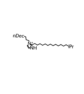 CCCCCCCCCCCCC[n+]1cc[nH]c1CCCCCCCCCCCCCC(C)C